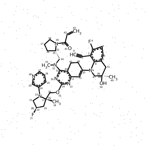 C#Cc1c(F)ccc2c1N(C1=Cc3nc(OC[C@]4(C)C[C@@H](F)CN4c4cccnc4)nc(N(C)C[C@@H]4CCCN4C(=O)C=C)c3CC1)C[C@](C)(O)C2